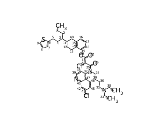 CCCC(CCc1cccs1)C1CCc2c(cccc2OC(=O)C(Cl)C(=O)N(CCCCN(CC)CC)c2ccnc3cc(Cl)ccc23)C1